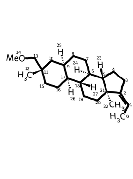 C/C=C1/CC[C@H]2[C@@H]3CC[C@@H]4C[C@@](C)(COC)CC[C@@H]4[C@H]3CC[C@]12C